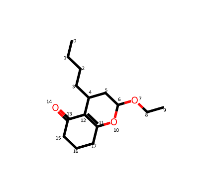 CCCCC1CC(OCC)OC2=C1C(=O)CCC2